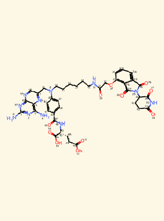 Nc1nc(N)c2nc(CN(CCCCCCNC(=O)COc3cccc4c3C(=O)N(C3CCC(=O)NC3=O)C4=O)c3ccc(C(=O)N[C@H](CCC(=O)O)C(=O)O)cc3)cnc2n1